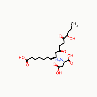 CCCC(O)C(=O)CCC(=O)C/C=C\CCCCCC(=O)O.N[C@@H](CC(=O)O)C(=O)O